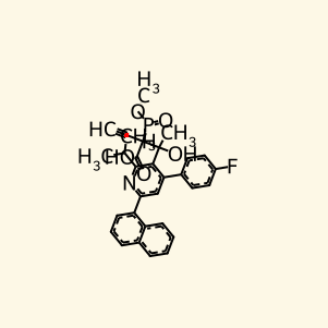 C#CC(C(=O)O)([PH](=O)OC)C(C)(O)c1c(-c2ccc(F)cc2)cc(-c2cccc3ccccc23)nc1C(C)C